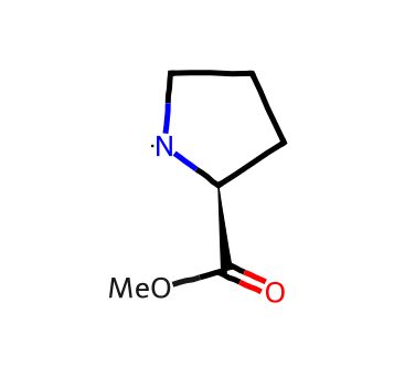 COC(=O)[C@@H]1CCC[N]1